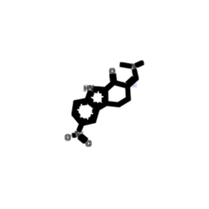 CN(C)/C=C1/CCc2c([nH]c3ccc([N+](=O)[O-])cc23)C1=O